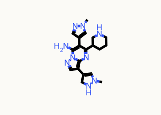 CN1C=C(c2cnn3c(N)c(-c4cnn(C)c4)c(C4CCCNC4)nc23)CN1